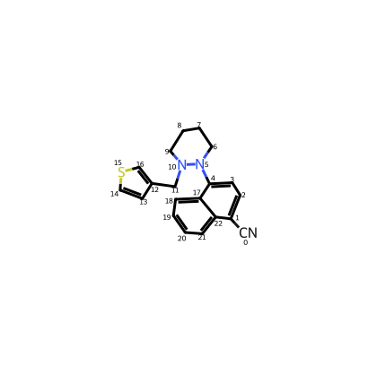 N#Cc1ccc(N2CCCCN2Cc2ccsc2)c2ccccc12